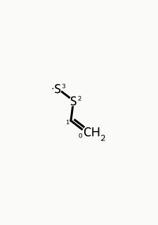 C=CS[S]